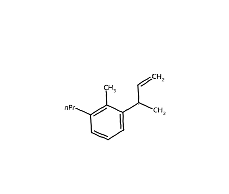 C=C[C](C)c1cccc(CCC)c1C